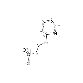 O=[SH](=O)CCCc1ccccn1